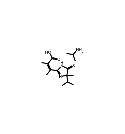 C/C(C(=O)O)=C(\C)C1=NC(C)(C(C)C)C(=S)N1.CC(C)N